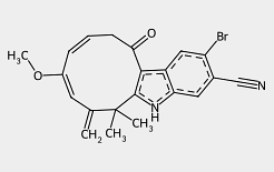 C=C1/C=C(OC)\C=C/CC(=O)c2c([nH]c3cc(C#N)c(Br)cc23)C1(C)C